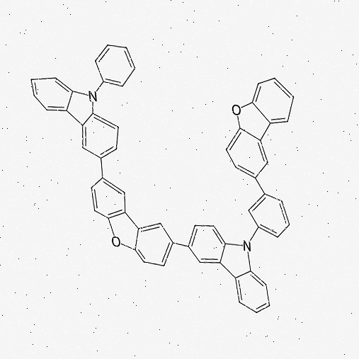 c1ccc(-n2c3ccccc3c3cc(-c4ccc5oc6ccc(-c7ccc8c(c7)c7ccccc7n8-c7cccc(-c8ccc9oc%10ccccc%10c9c8)c7)cc6c5c4)ccc32)cc1